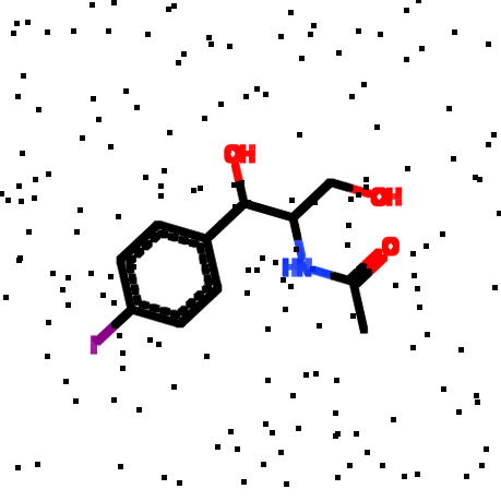 CC(=O)NC(CO)C(O)c1ccc(I)cc1